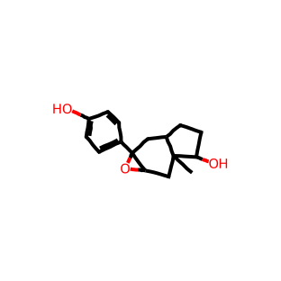 CC12CC3OC3(c3ccc(O)cc3)CC1CCC2O